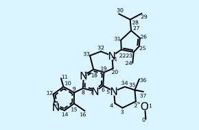 CO[C@@H]1CCN(c2nc(-c3c(C)cncc3C)nc3c2CN(C2=C(C)C=CC(C(C)C)C2)CC3)CC1(C)C